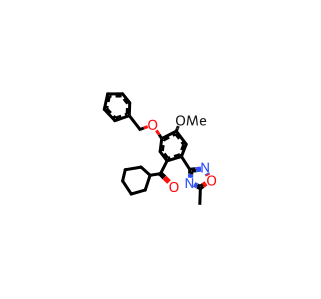 COc1cc(-c2noc(C)n2)c(C(=O)C2CCCCC2)cc1OCc1ccccc1